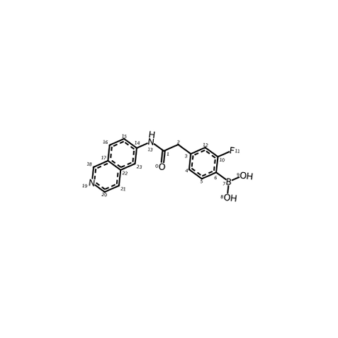 O=C(Cc1ccc(B(O)O)c(F)c1)Nc1ccc2cnccc2c1